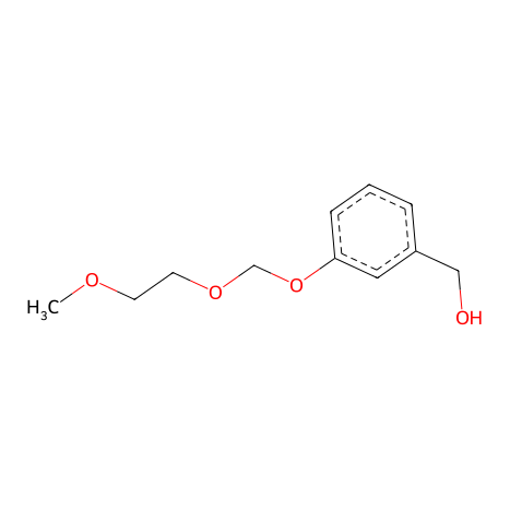 COCCOCOc1cccc(CO)c1